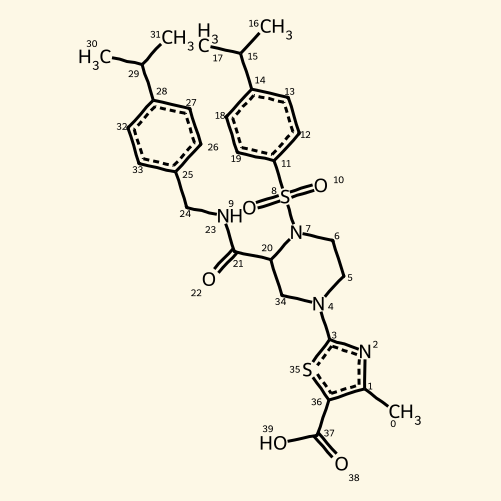 Cc1nc(N2CCN(S(=O)(=O)c3ccc(C(C)C)cc3)C(C(=O)NCc3ccc(C(C)C)cc3)C2)sc1C(=O)O